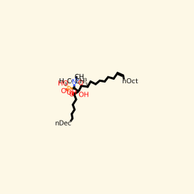 CCCCCCCC/C=C\CCCCCCCC(=O)C(O)(C(=O)CCCCCCCCCCCCCCC)C([N+](C)(C)C)P(=O)(O)O